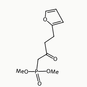 COP(=O)(CC(=O)CCc1ccco1)OC